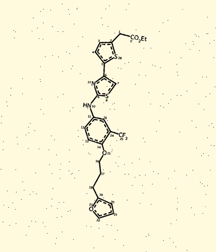 CCOC(=O)Cc1ccc(-c2csc(Nc3ccc(OCCCc4ccco4)c(C(F)(F)F)c3)n2)s1